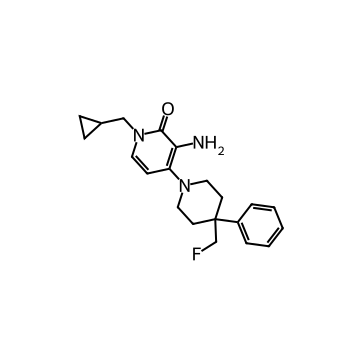 Nc1c(N2CCC(CF)(c3ccccc3)CC2)ccn(CC2CC2)c1=O